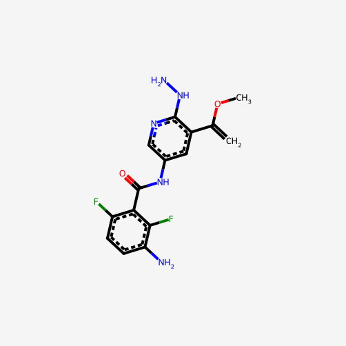 C=C(OC)c1cc(NC(=O)c2c(F)ccc(N)c2F)cnc1NN